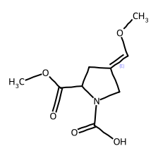 CO/C=C1\CC(C(=O)OC)N(C(=O)O)C1